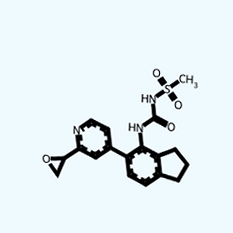 CS(=O)(=O)NC(=O)Nc1c(-c2ccnc(C3CO3)c2)ccc2c1CCC2